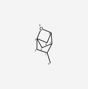 CC1CC23CC(O2)C1C3